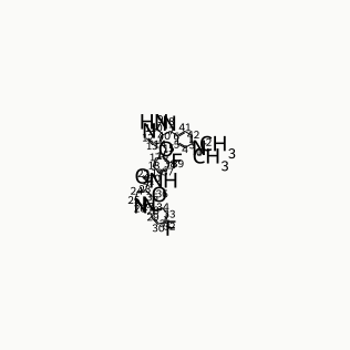 CN(C)c1ccc(-c2n[nH]c3nccc(Oc4ccc(NC(=O)c5ccnn(-c6ccc(F)cc6)c5=O)cc4F)c23)cc1